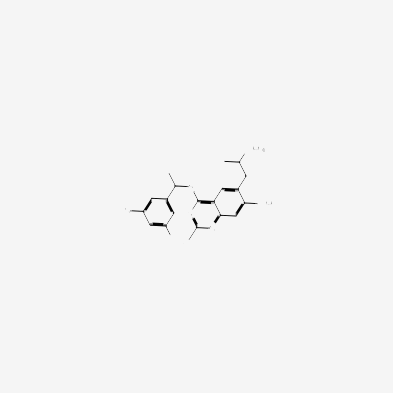 COc1cc2nc(C)nc(NC(C)c3cc(N)cc(C(F)(F)F)c3)c2cc1CC(C)OC